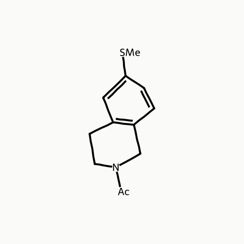 CSc1ccc2c(c1)CCN(C(C)=O)C2